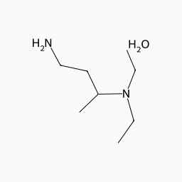 CCN(CC)C(C)CCN.O